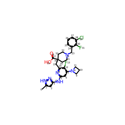 Cc1cc(Nc2cc(N3CCC3)c(F)c(CC3(C(=O)O)CCN(Cc4cccc(Cl)c4F)CC3)n2)n[nH]1